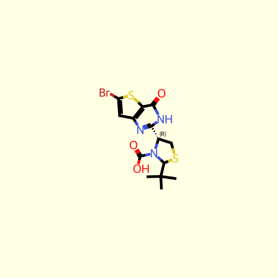 CC(C)(C)C1SC[C@@H](c2nc3cc(Br)sc3c(=O)[nH]2)N1C(=O)O